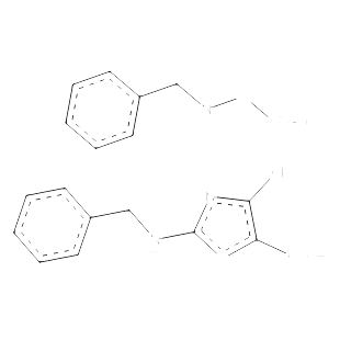 CCCCCONCc1ccccc1.Cc1nc(NCc2ccccc2)sc1C(=O)O